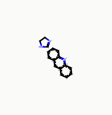 C1=NCCN1.c1ccc2nc3ccccc3cc2c1